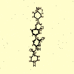 CN(Cc1ccc(-n2ccc(NC(=O)N3CCNCC3)nc2=O)cc1Cl)[C@H]1CC[C@H](N)CC1